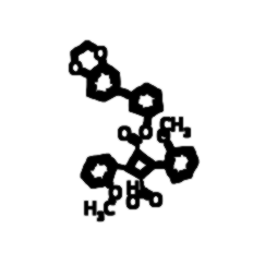 COc1ccccc1C1[C@@H](C(=O)Oc2cccc(-c3ccc4c(c3)OCCO4)c2)[C@H](c2ccccc2OC)[C@H]1C(=O)O